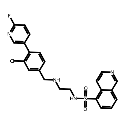 O=S(=O)(NCCNCc1ccc(-c2ccc(F)nc2)c(Cl)c1)c1cccc2cnccc12